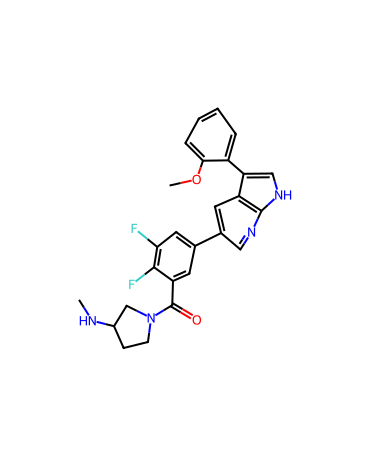 CNC1CCN(C(=O)c2cc(-c3cnc4[nH]cc(-c5ccccc5OC)c4c3)cc(F)c2F)C1